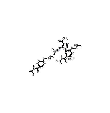 CN(C)/N=N/c1[nH]cnc1C(N)=O.CNNCc1ccc(C(=O)NC(C)C)cc1.CNNCc1ccc(C(=O)NC(C)C)cc1.Cl